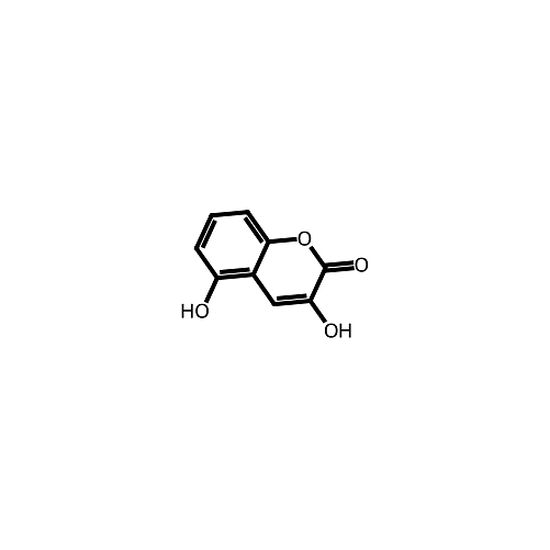 O=c1oc2cccc(O)c2cc1O